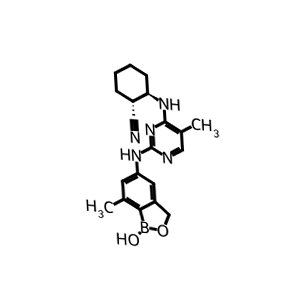 Cc1cnc(Nc2cc(C)c3c(c2)COB3O)nc1N[C@@H]1CCCC[C@H]1C#N